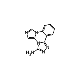 Nc1nnc2c3ccccc3n3cncc3n12